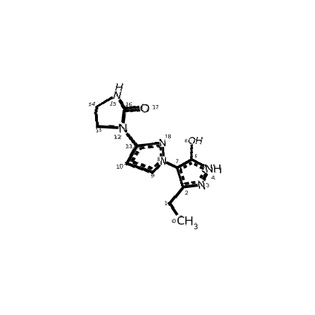 CCc1n[nH]c(O)c1-n1ccc(N2CCNC2=O)n1